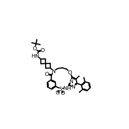 Cc1cccc(C)c1-c1nc2nc(c1C)OCCCN(C1CC3(CC(NC(=O)OC(C)(C)C)C3)C1)C(=O)c1cccc(c1)S(=O)(=O)N2